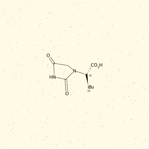 CC[C@H](C)[C@@H](C(=O)O)N1CC(=O)NC1=O